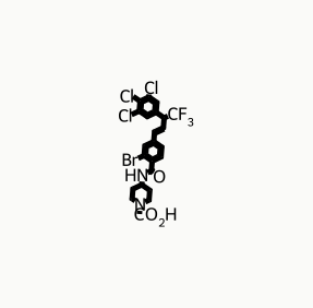 O=C(NC1CCN(C(=O)O)CC1)c1ccc(C=CC(c2cc(Cl)c(Cl)c(Cl)c2)C(F)(F)F)cc1Br